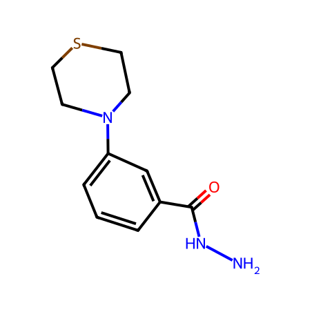 NNC(=O)c1cccc(N2CCSCC2)c1